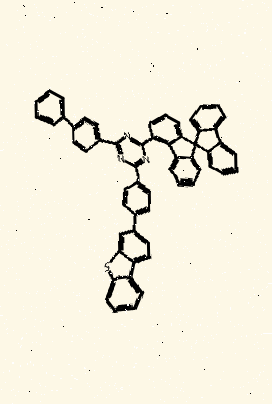 c1ccc(-c2ccc(-c3nc(-c4ccc(-c5ccc6c(c5)sc5ccccc56)cc4)nc(-c4cccc5c4-c4ccccc4C54c5ccccc5-c5ccccc54)n3)cc2)cc1